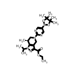 CCOC(=O)c1nn(C(C)C)c2c1CN(c1ncc(B3OC(C)(C)C(C)(C)O3)cn1)C[C@@H]2C